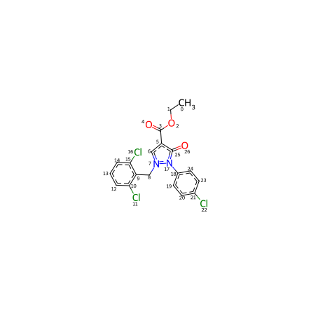 CCOC(=O)c1cn(Cc2c(Cl)cccc2Cl)n(-c2ccc(Cl)cc2)c1=O